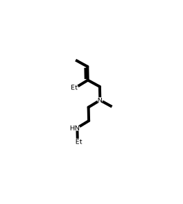 C/C=C(\CC)CN(C)CCNCC